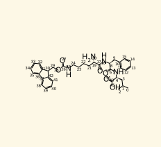 CC(C)C[C@H](NC(=O)[C@H](Cc1ccccc1)NC(=O)[C@@H](N)CCCCNC(=O)OCC1c2ccccc2-c2ccccc21)C(=O)O